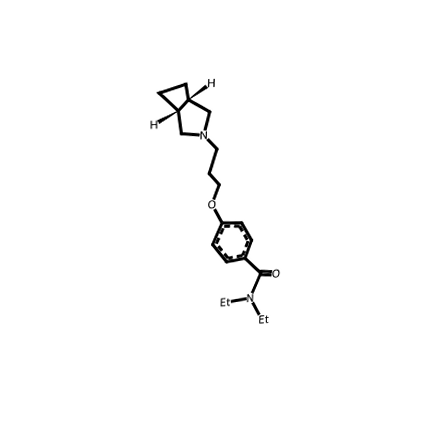 CCN(CC)C(=O)c1ccc(OCCCN2C[C@H]3CC[C@H]3C2)cc1